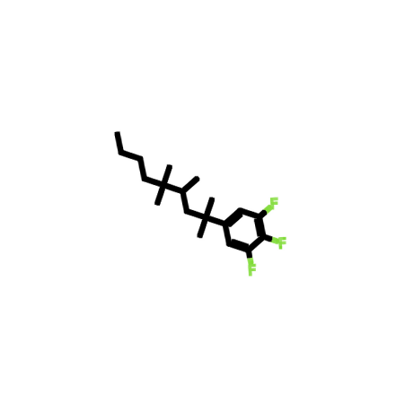 CCCCC(C)(C)C(C)CC(C)(C)c1cc(F)c(F)c(F)c1